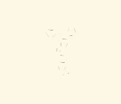 CCS(=O)(=O)c1ccc(CC(=O)Nc2ccc(-c3cccc(F)c3)c(C(=O)c3ccc(F)cc3)n2)cc1